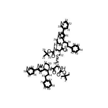 CC(C)(C)OC(=O)N[C@@H](CSSC[C@H](NC(=O)OC(C)(C)C)C(=O)N1CCn2nc(-c3cccnc3)cc2C1CCc1ccccc1)C(=O)N1CCn2nc(-c3cccnc3)cc2C1CCc1ccccc1